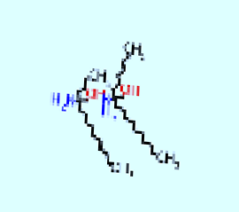 CCCCCCCCCCC(N)(CO)CCCC.CCCCCCCCCCC(N)(CO)CCCCCCC